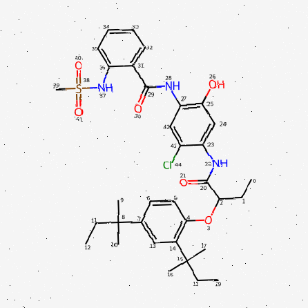 CCC(Oc1ccc(C(C)(C)CC)cc1C(C)(C)CC)C(=O)Nc1cc(O)c(NC(=O)c2ccccc2NS(C)(=O)=O)cc1Cl